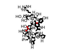 CC(C)C[C@H](NC(=O)[C@H](Cc1c[nH]cn1)NC(=O)[C@H](Cc1c[nH]c2ccccc12)NC(=O)[C@@H]1CCCN1)C(=O)N[C@@H](CO)C(=O)N[C@@H](CO)C(=O)N[C@@H](CCCCN)C(=O)N[C@@H](Cc1ccc(O)cc1)C(=O)N[C@@H](CO)C(=O)N[C@@H](CCCNC(=N)N)C(=O)N[C@H](C(=O)O)[C@@H](C)O